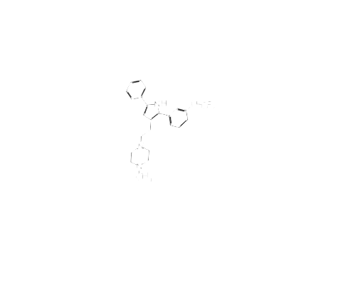 CN1CCN(CCc2cc(-c3ccccc3)[nH]c2-c2cccc(OC(F)(F)F)c2)CC1